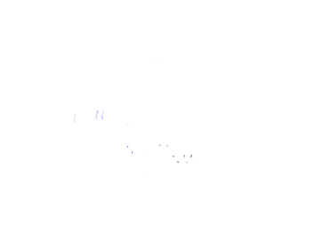 CCN1CCc2c(-c3ccccc3)cc3c(c2C1)NC(=O)/C3=C\NC